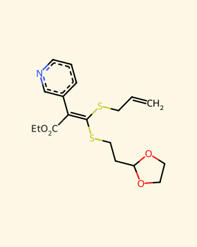 C=CCS/C(SCCC1OCCO1)=C(/C(=O)OCC)c1cccnc1